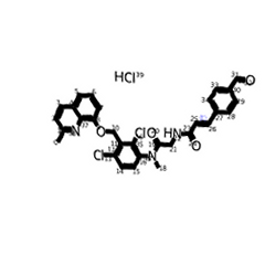 Cc1ccc2cccc(OCc3c(Cl)ccc(N(C)C(=O)CNC(=O)/C=C/c4ccc(C=O)cc4)c3Cl)c2n1.Cl